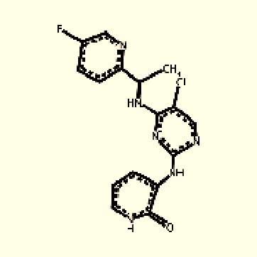 CC(Nc1nc(Nc2ccc[nH]c2=O)ncc1Cl)c1ccc(F)cn1